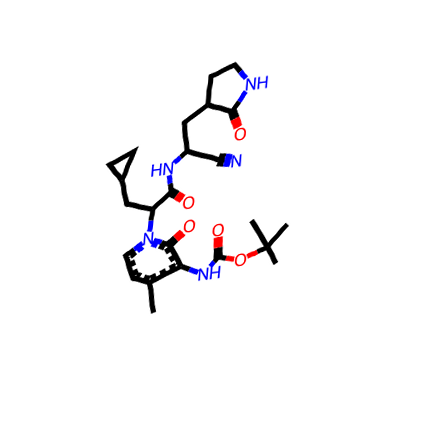 Cc1ccn(C(CC2CC2)C(=O)NC(C#N)CC2CCNC2=O)c(=O)c1NC(=O)OC(C)(C)C